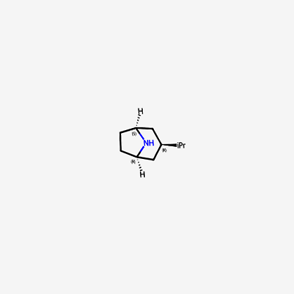 CC(C)[C@H]1C[C@H]2CC[C@@H](C1)N2